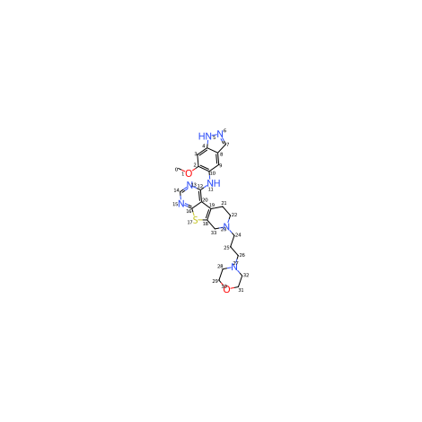 COc1cc2[nH]ncc2cc1Nc1ncnc2sc3c(c12)CCN(CCCN1CCOCC1)C3